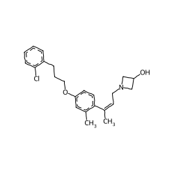 C/C(=C/CN1CC(O)C1)c1ccc(OCCCc2ccccc2Cl)cc1C